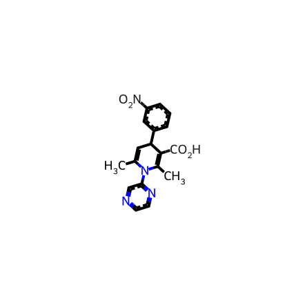 CC1=CC(c2cccc([N+](=O)[O-])c2)C(C(=O)O)=C(C)N1c1cnccn1